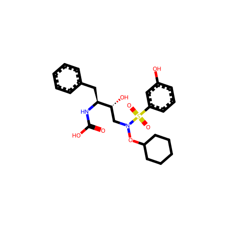 O=C(O)N[C@@H](Cc1ccccc1)[C@H](O)CN(OC1CCCCC1)S(=O)(=O)c1cccc(O)c1